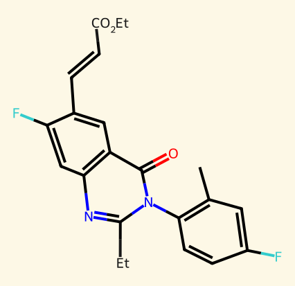 CCOC(=O)C=Cc1cc2c(=O)n(-c3ccc(F)cc3C)c(CC)nc2cc1F